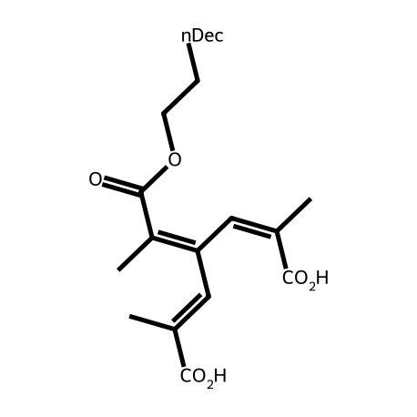 CCCCCCCCCCCCOC(=O)C(C)=C(C=C(C)C(=O)O)C=C(C)C(=O)O